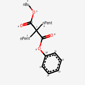 CCCCCC(CCCCC)(C(=O)OCCCC)C(=O)Oc1ccccc1